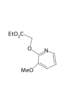 CCOC(=O)COc1ncccc1OC